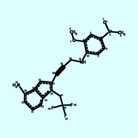 COc1cc([S+](C)[O-])ccc1NCC#Cc1cc2c(N)cccc2n1CC(F)(F)F